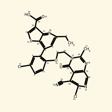 CCc1cc(-c2cc(Cl)ccc2OCCn2c(C)nc3cnc(Cl)c(C#N)c3c2=O)c2scc(C(=O)O)c2n1